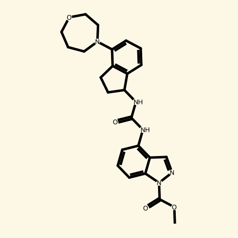 COC(=O)n1ncc2c(NC(=O)NC3CCc4c3cccc4N3CCCOCC3)cccc21